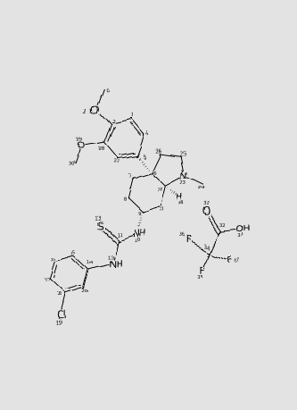 COc1ccc([C@@]23CC[C@@H](NC(=S)Nc4cccc(Cl)c4)C[C@@H]2N(C)CC3)cc1OC.O=C(O)C(F)(F)F